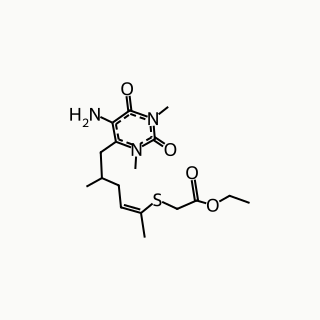 CCOC(=O)CS/C(C)=C\CC(C)Cc1c(N)c(=O)n(C)c(=O)n1C